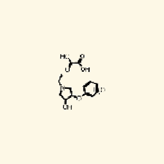 CCN1CC(O)C(Oc2ccccc2)C1.O.O=C(O)C(=O)O